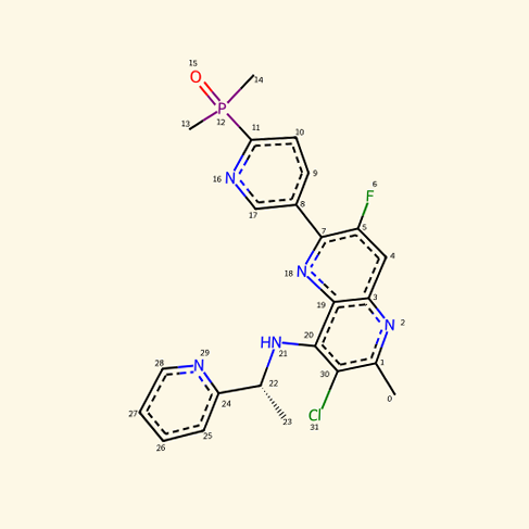 Cc1nc2cc(F)c(-c3ccc(P(C)(C)=O)nc3)nc2c(N[C@H](C)c2ccccn2)c1Cl